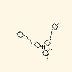 CCc1cc(C)ccc1N(c1ccc(/C=C/C=C/c2ccc(C)cc2)cc1)c1ccc(/C=C/C=C/c2ccc(C)cc2)cc1